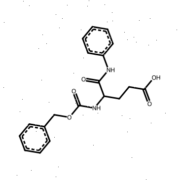 O=C(O)CCC(NC(=O)OCc1ccccc1)C(=O)Nc1ccccc1